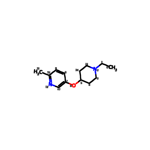 CCN1CCC(Oc2ccc(C)nc2)CC1